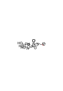 CN(CCCN1CN(c2ccccc2)C2(CCN(CCC3CCC4CC3C4(C)C)CC2)C1=O)C(c1cccs1)C(O)C(O)C(O)CO